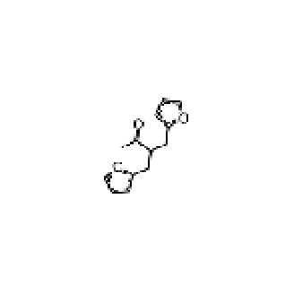 CC(=O)C(Cc1ccco1)Cc1ccco1